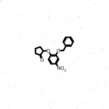 O=C1CCCC1Oc1ccc([N+](=O)[O-])cc1OCc1ccccc1